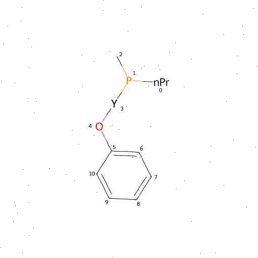 CCC[P](C)[Y][O]c1ccccc1